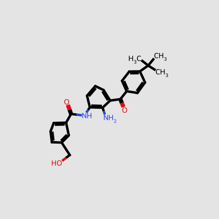 CC(C)(C)c1ccc(C(=O)c2cccc(NC(=O)c3cccc(CO)c3)c2N)cc1